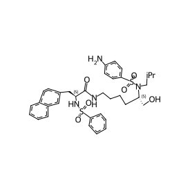 CC(C)CN([C@H](CO)CCCCNC(=O)[C@H](Cc1ccc2ccccc2c1)NS(=O)(=O)c1ccccc1)S(=O)(=O)c1ccc(N)cc1